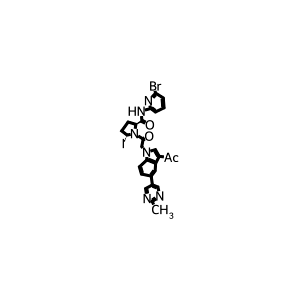 CC(=O)c1cn(CC(=O)N2[C@H](I)CC[C@H]2C(=O)Nc2cccc(Br)n2)c2ccc(-c3cnc(C)nc3)cc12